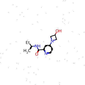 C=C(CC)NC(=O)c1cc(N2CC(O)C2)ccn1